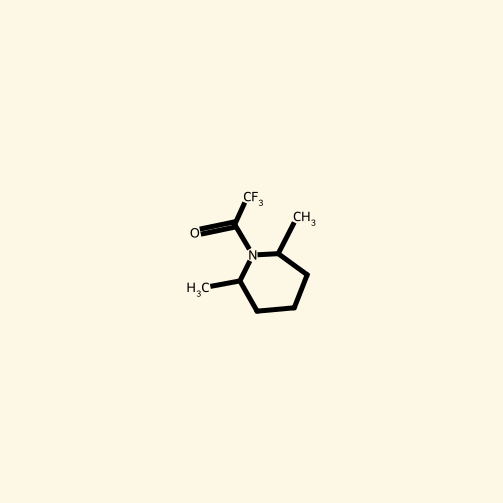 CC1CCCC(C)N1C(=O)C(F)(F)F